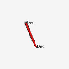 CCCCCCCCCCCCCCCCCCCCCCCCCCCCCCCCCCCCCCCCCCCCCCCCCCCCCCCCCCCCCCCCCCCCCCC